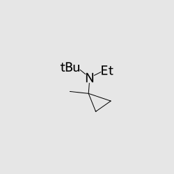 CCN(C(C)(C)C)C1(C)CC1